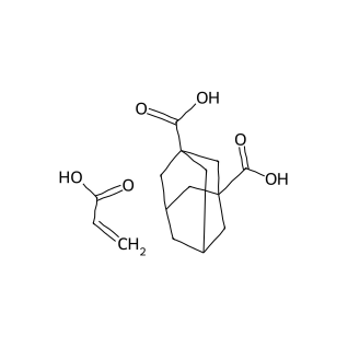 C=CC(=O)O.O=C(O)C12CC3CC(C1)CC(C(=O)O)(C3)C2